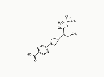 CCN(C(=O)OC(C)(C)C)C1C2CN(c3cnc(C(=O)O)cn3)CC21